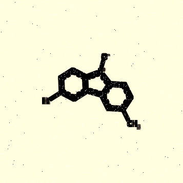 CCc1ccc2c(c1)c1cc(C)ccc1[s+]2[O-]